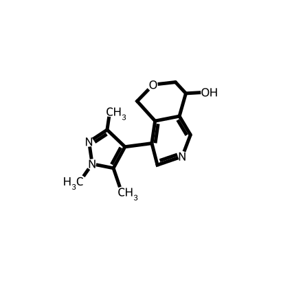 Cc1nn(C)c(C)c1-c1cncc2c1COCC2O